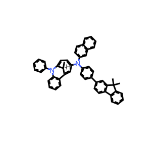 C[C@H]1C2=CC(N(c3ccc(-c4ccc5c(c4)C(C)(C)c4ccccc4-5)cc3)c3ccc4ccccc4c3)=CC=C1N(c1ccccc1)c1ccccc12